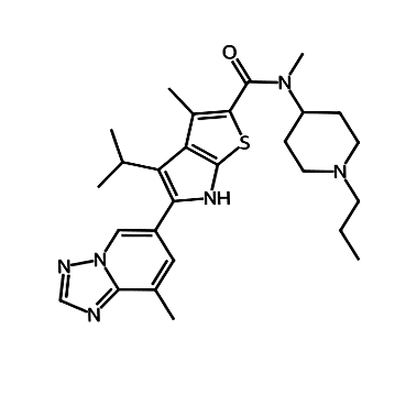 CCCN1CCC(N(C)C(=O)c2sc3[nH]c(-c4cc(C)c5ncnn5c4)c(C(C)C)c3c2C)CC1